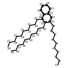 CCCCCCCCCCc1cc2ccccc2c(CCCCCCCCCC)c1CCCCCCCCCC